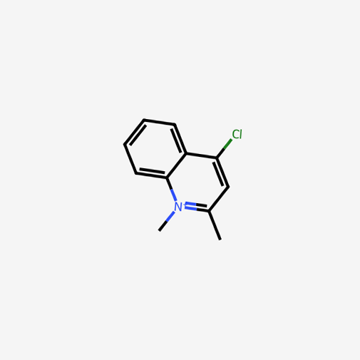 Cc1cc(Cl)c2ccccc2[n+]1C